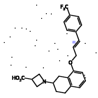 O=C(O)C1CN(C2CCc3cccc(OC/C=C/c4ccc(C(F)(F)F)cc4)c3C2)C1